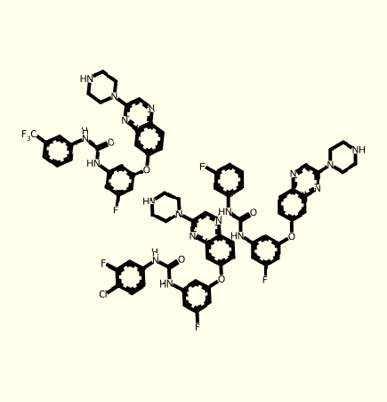 O=C(Nc1cc(F)cc(Oc2ccc3ncc(N4CCNCC4)nc3c2)c1)Nc1ccc(Cl)c(F)c1.O=C(Nc1cc(F)cc(Oc2ccc3ncc(N4CCNCC4)nc3c2)c1)Nc1cccc(C(F)(F)F)c1.O=C(Nc1cccc(F)c1)Nc1cc(F)cc(Oc2ccc3ncc(N4CCNCC4)nc3c2)c1